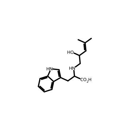 CC(C)=CC(O)CNC(Cc1c[nH]c2ccccc12)C(=O)O